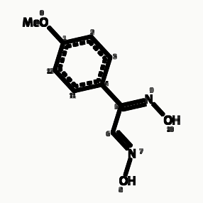 COc1ccc(C(C=NO)=NO)cc1